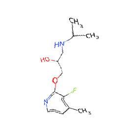 Cc1ccnc(OCC(O)CNC(C)C)c1F